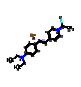 CCN(CC)c1ccc(/C=C/c2cc[n+](C(C)F)cc2)cc1.[Br-]